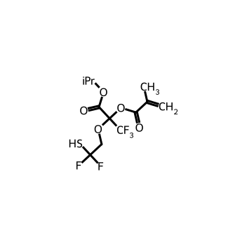 C=C(C)C(=O)OC(OCC(F)(F)S)(C(=O)OC(C)C)C(F)(F)F